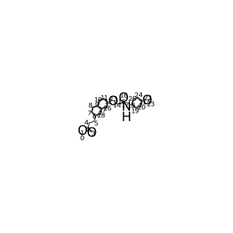 COC(=O)CCc1ccc2ccc(OCC(=O)Nc3ccc(OC)cc3)cc2c1